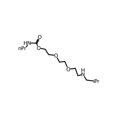 CCCNC(=O)OCCOCCOCCNCC(C)C